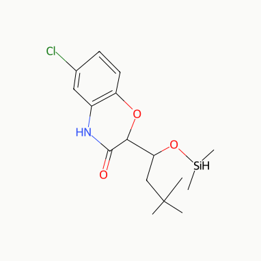 C[SiH](C)OC(CC(C)(C)C)C1Oc2ccc(Cl)cc2NC1=O